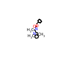 C/C(=N\C(=O)OCc1ccccc1)C1=NC2(C)CCCCC2(C)C1